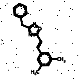 Cc1cc(C)cc(/C=C/c2nc(Cc3ccccc3)no2)c1